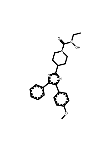 CCN(O)C(=O)N1CCC(c2nc(-c3ccc(OC)cc3)c(-c3ccccc3)o2)CC1